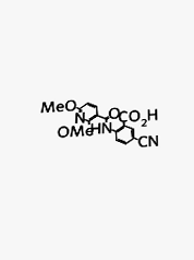 COc1ccc(C(=O)Nc2ccc(C#N)cc2C(=O)O)c(OC)n1